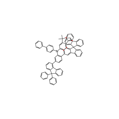 CC1(C)c2ccccc2-c2ccc(N(c3ccc(-c4ccccc4)cc3)c3cc(-c4cccc5c4-c4ccccc4C5(c4ccccc4)c4ccccc4)ccc3-c3ccc4c(c3)-c3ccccc3C43c4ccccc4-c4ccccc43)cc21